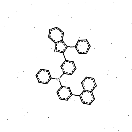 c1ccc(-c2c(-c3cccc(N(c4ccccc4)c4cccc(-c5cccc6ccccc56)c4)c3)oc3ccccc23)cc1